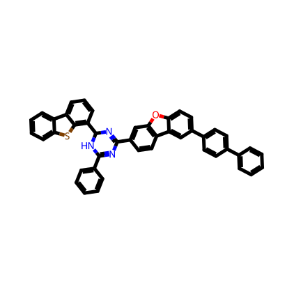 c1ccc(C2=NC(c3ccc4c(c3)oc3ccc(-c5ccc(-c6ccccc6)cc5)cc34)=NC(c3cccc4c3sc3ccccc34)N2)cc1